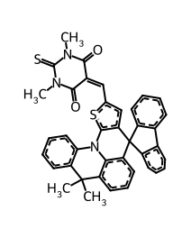 CN1C(=O)C(=Cc2cc3c(s2)N2c4ccccc4C(C)(C)c4cccc(c42)C32c3ccccc3-c3ccccc32)C(=O)N(C)C1=S